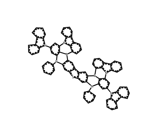 c1ccc(N2c3cc4sc5cc6c(cc5c4cc3B3c4c2cc(-n2c5ccccc5c5ccccc52)cc4-n2c4ccccc4c4cccc3c42)B2c3c(cc(-n4c5ccccc5c5ccccc54)cc3-n3c4ccccc4c4cccc2c43)N6c2ccccc2)cc1